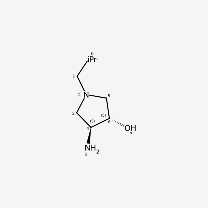 C[C](C)CN1C[C@H](N)[C@@H](O)C1